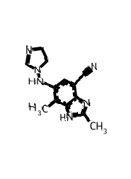 Cc1nc2c(C#N)cc(NN3C=NCC3)c(C)c2[nH]1